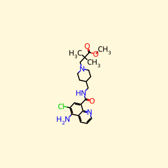 COC(=O)C(C)(C)CN1CCC(CNC(=O)c2cc(Cl)c(N)c3cccnc23)CC1